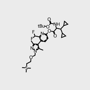 Cc1nn(COCCS(C)(C)C)c(C)c1-c1ccc(OC(=O)C(NC(=O)OC(C)(C)C)C(C2CC2)C2CC2)nc1C(F)F